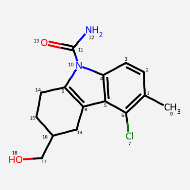 Cc1ccc2c(c1Cl)c1c(n2C(N)=O)CC[C](CO)C1